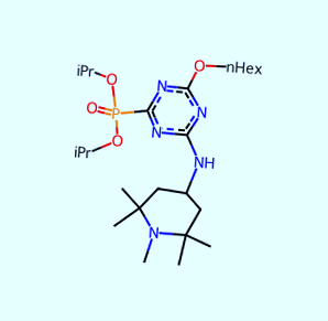 CCCCCCOc1nc(NC2CC(C)(C)N(C)C(C)(C)C2)nc(P(=O)(OC(C)C)OC(C)C)n1